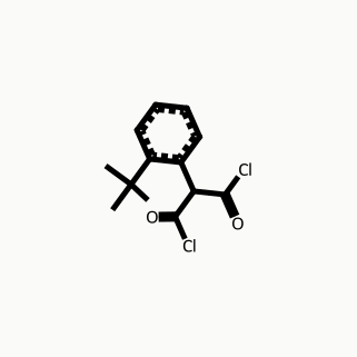 CC(C)(C)c1ccccc1C(C(=O)Cl)C(=O)Cl